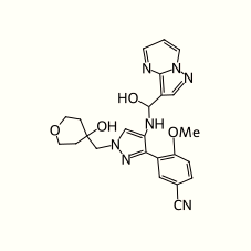 COc1ccc(C#N)cc1-c1nn(CC2(O)CCOCC2)cc1NC(O)c1cnn2cccnc12